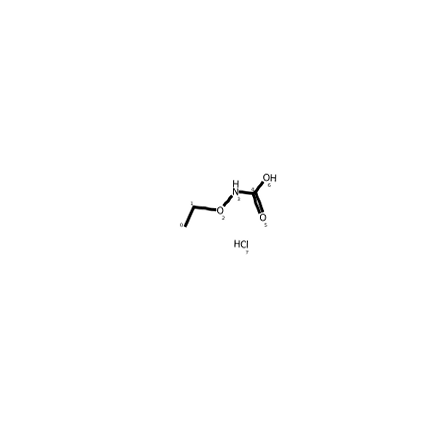 CCONC(=O)O.Cl